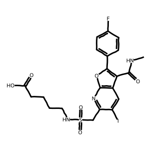 CNC(=O)c1c(-c2ccc(F)cc2)oc2nc(CS(=O)(=O)NCCCCC(=O)O)c(I)cc12